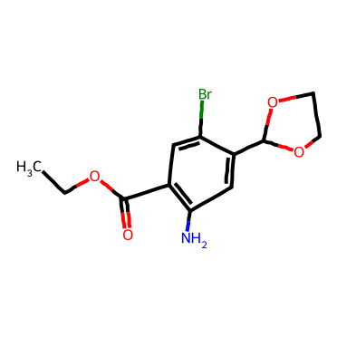 CCOC(=O)c1cc(Br)c(C2OCCO2)cc1N